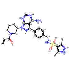 C=CC(=O)N1CCCC(n2nc(-c3ccc(CNS(=O)(=O)c4c(C)n[nH]c4C)cc3)c3c(N)ncnc32)C1